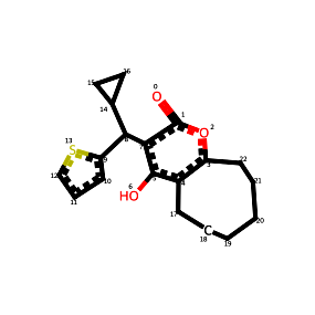 O=c1oc2c(c(O)c1C(c1cccs1)C1CC1)CCCCCC2